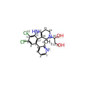 Cc1ncccc1-c1cc(Cl)c(Cl)c2[nH]c3c(c12)CN(C(O)CO)CC3